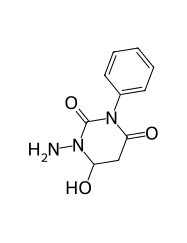 NN1C(=O)N(c2ccccc2)C(=O)CC1O